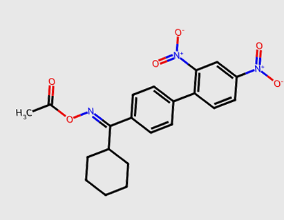 CC(=O)O/N=C(/c1ccc(-c2ccc([N+](=O)[O-])cc2[N+](=O)[O-])cc1)C1CCCCC1